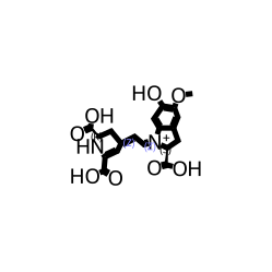 COc1cc2c(cc1O)/[N+](=C\C=C1/C=C(C(=O)O)N[C@@H](C(=O)O)C1)[C@H](C(=O)O)C2